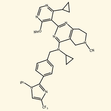 COc1ncnc(C2CC2)c1-c1nc2c(c(N(Cc3ccc(-c4nc(C(F)(F)F)cn4C(C)C)cc3)C3CC3)n1)CN(C#N)CC2